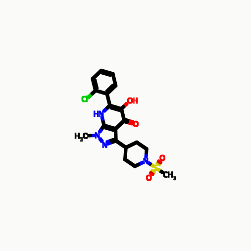 Cn1nc(C2CCN(S(C)(=O)=O)CC2)c2c(=O)c(O)c(-c3ccccc3Cl)[nH]c21